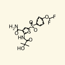 CC(C)(O)C(=O)Nc1sc(S(=O)(=O)c2ccc(OC(F)F)cc2)cc1C(N)=O